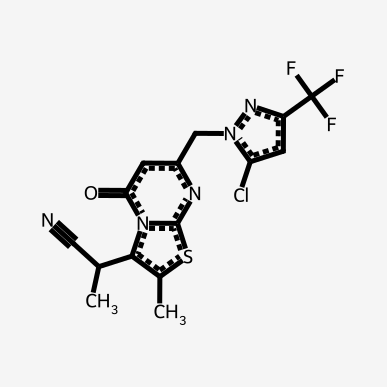 Cc1sc2nc(Cn3nc(C(F)(F)F)cc3Cl)cc(=O)n2c1C(C)C#N